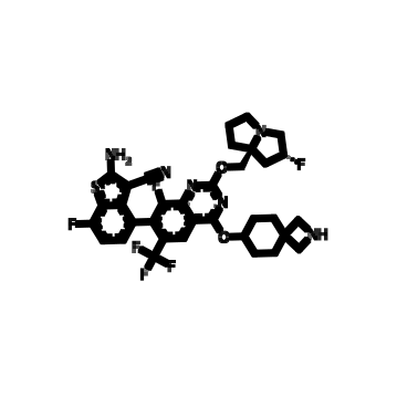 N#Cc1c(N)sc2c(F)ccc(-c3c(C(F)(F)F)cc4c(OC5CCC6(CC5)CNC6)nc(OC[C@@]56CCCN5C[C@H](F)C6)nc4c3F)c12